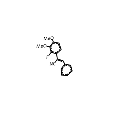 COc1ccc(C(C#N)=Cc2ccccc2)c(F)c1OC